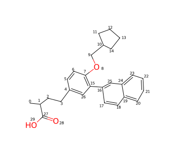 CC(CCc1ccc(OCC2CCCC2)c(-c2ccc3ccccc3c2)c1)C(=O)O